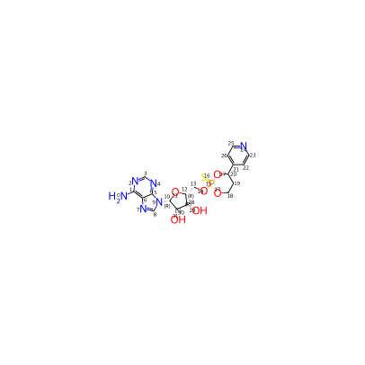 Nc1ncnc2c1ncn2[C@@H]1O[C@H](COP2(=S)OCCC(c3ccncc3)O2)[C@H](O)[C@@H]1O